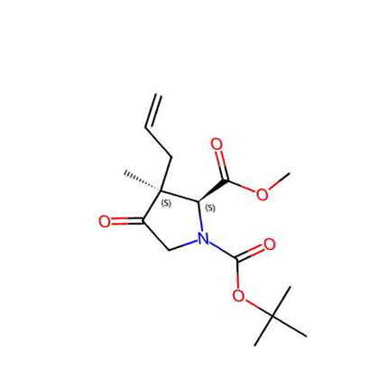 C=CC[C@]1(C)C(=O)CN(C(=O)OC(C)(C)C)[C@@H]1C(=O)OC